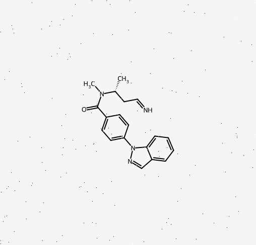 C[C@H](CC=N)N(C)C(=O)c1ccc(-n2ncc3ccccc32)cc1